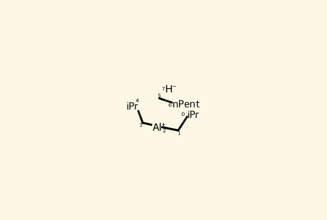 CC(C)[CH2][Al+][CH2]C(C)C.CCCCCC.[H-]